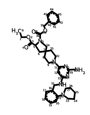 CCOC(=O)C1CC2(CCN(c3cc(NCc4ccccc4N4CCCCC4)nc(N)n3)CC2)CN1C(=O)OCc1ccccc1